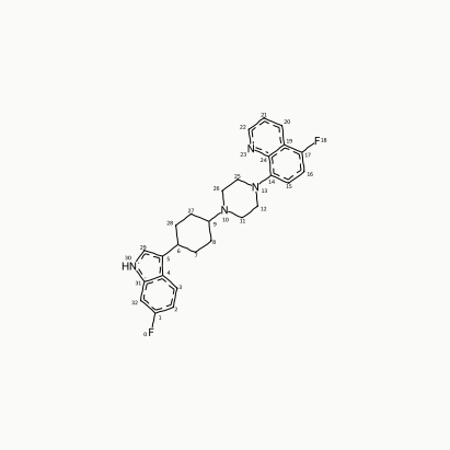 Fc1ccc2c(C3CCC(N4CCN(c5ccc(F)c6cccnc56)CC4)CC3)c[nH]c2c1